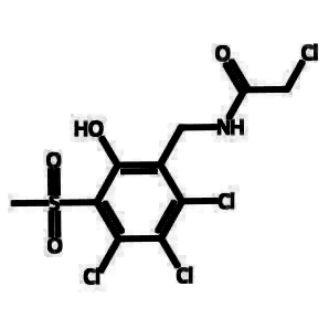 CS(=O)(=O)c1c(O)c(CNC(=O)CCl)c(Cl)c(Cl)c1Cl